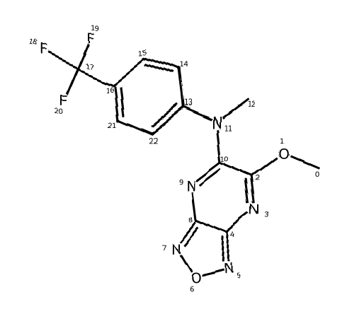 COc1nc2nonc2nc1N(C)c1ccc(C(F)(F)F)cc1